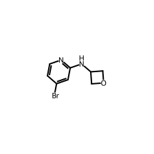 Brc1ccnc(NC2COC2)c1